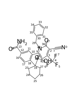 N#Cc1c(C(F)(F)F)cc(-c2cc(C(N)=O)ccc2C2(C(=O)O)CCCCC2)n(Cc2ccccc2)c1=O